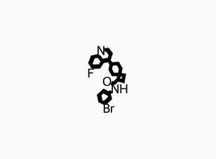 O=C(Nc1cccc(Br)c1)C1CCC12CCC(c1ccnc3ccc(F)cc13)CC2